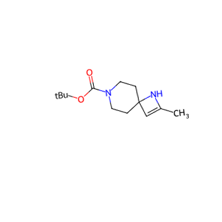 CC1=CC2(CCN(C(=O)OC(C)(C)C)CC2)N1